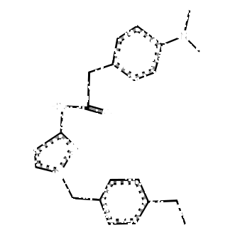 CCc1ccc(Cn2ccc(NC(=O)Cc3ccc(N(C)C)cc3)n2)cc1